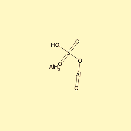 [AlH3].[O]=[Al][O]S(=O)(=O)O